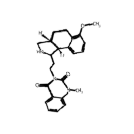 COc1cccc2c1CC[C@H]1CNC(CCn3c(=O)c4ccccc4n(C)c3=O)[C@@H]21